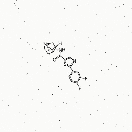 O=C(N[C@H]1CN2CCC1CC2)c1cnc(-c2ccc(F)c(F)c2)s1